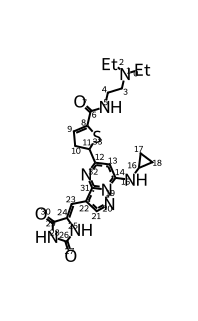 CCN(CC)CCNC(=O)C1=CCC(c2cc(NC3CC3)n3ncc(/C=C4\NC(=O)NC4=O)c3n2)S1